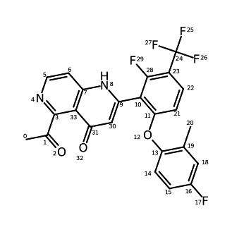 CC(=O)c1nccc2[nH]c(-c3c(Oc4ccc(F)cc4C)ccc(C(F)(F)F)c3F)cc(=O)c12